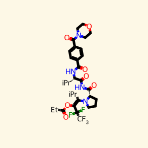 CCC(=O)O/C(=C(\C(C)C)N1CCC[C@H]1C(=O)NC(=O)[C@@H](NC(=O)c1ccc(C(=O)N2CCOCC2)cc1)C(C)C)C(F)(F)C(F)(F)F